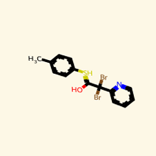 Cc1ccc([SH]=C(O)C(Br)(Br)c2ccccn2)cc1